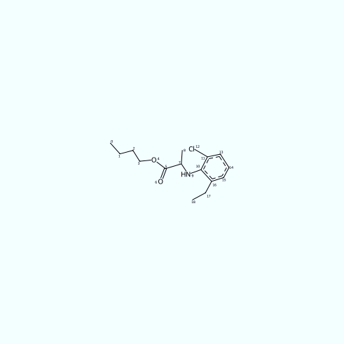 CCCCOC(=O)C(C)Nc1c(Cl)cccc1CC